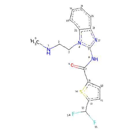 CNCCn1c(NC(=O)c2ccc(C(F)F)s2)nc2ccccc21